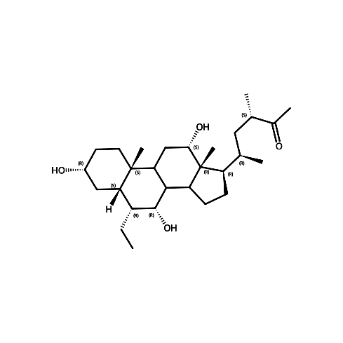 CC[C@H]1[C@@H](O)C2C3CC[C@H]([C@H](C)C[C@H](C)C(C)=O)[C@@]3(C)[C@@H](O)CC2[C@@]2(C)CC[C@@H](O)C[C@@H]12